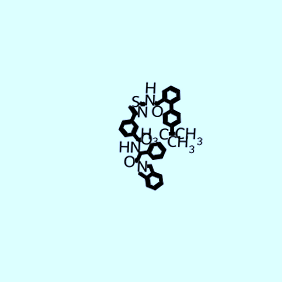 CC(C)(C)c1ccc(-c2ccccc2C(=O)Nc2nc(-c3cccc(C(=O)N[C@H](C(=O)N4Cc5ccccc5C4)c4ccccc4)c3)cs2)cc1